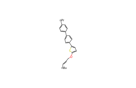 CCCC/C=C/COc1ccc(-c2ccc(-c3ccc(CCC)cc3)cc2)s1